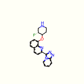 F[C@@H]1CNCCC1Oc1cccc2ccc(-c3nnc4ccccn34)nc12